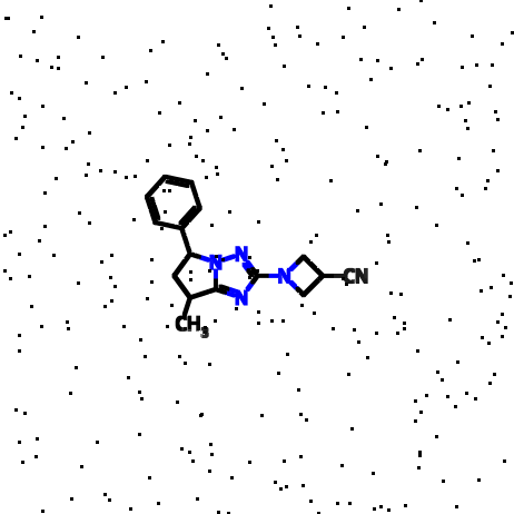 CC1CC(c2ccccc2)n2nc(N3CC(C#N)C3)nc21